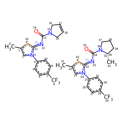 Cc1cn(-c2ccc(C(F)(F)F)cc2)/c(=N/C(=O)N2CC=CC2)s1.Cc1cn(-c2ccc(C(F)(F)F)cc2)/c(=N/C(=O)N2CCC[C@@H]2C)s1